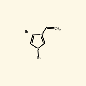 C=C[n+]1ccn(CC)c1.[Br-]